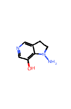 NN1CCc2cncc(O)c21